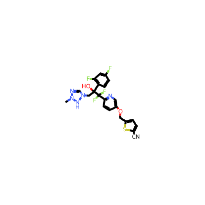 CN1N=CN(CC(O)(c2ccc(F)cc2F)C(F)(F)c2ccc(OCc3ccc(C#N)s3)cn2)N1